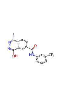 O=C(Nc1cccc(C(F)(F)F)c1)c1ccc2c(I)nnc(O)c2c1